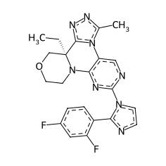 CC[C@@]12COCCN1c1nc(-n3ccnc3-c3ccc(F)cc3F)ncc1-n1c(C)nnc12